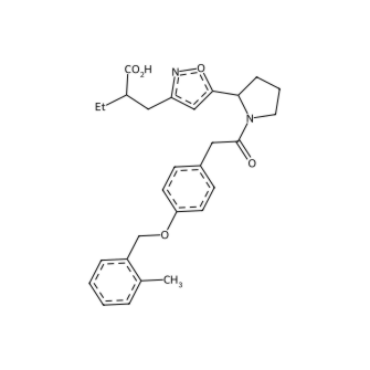 CCC(Cc1cc(C2CCCN2C(=O)Cc2ccc(OCc3ccccc3C)cc2)on1)C(=O)O